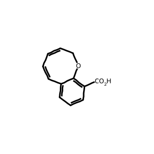 O=C(O)c1cccc2c1OCC=CC=C2